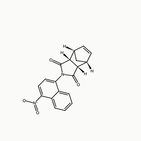 O=C1[C@@H]2[C@H](C(=O)N1c1ccc([N+](=O)[O-])c3ccccc13)[C@@H]1C=C[C@H]2C1